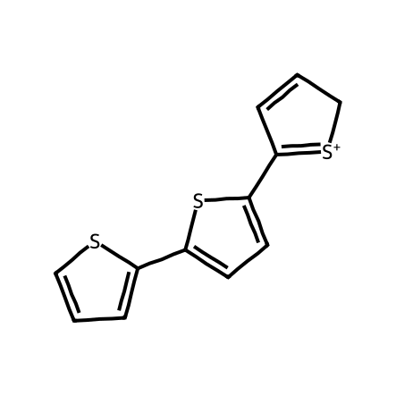 C1=CC(c2ccc(-c3cccs3)s2)=[S+]C1